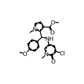 COC(=O)c1ccn(C)c1C(Nc1cc(Cl)c(=O)n(C)c1)c1ccc(OC)cc1